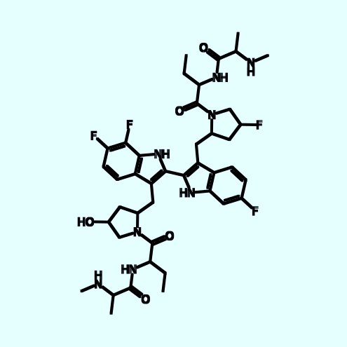 CCC(NC(=O)C(C)NC)C(=O)N1CC(O)CC1Cc1c(-c2[nH]c3cc(F)ccc3c2CC2CC(F)CN2C(=O)C(CC)NC(=O)C(C)NC)[nH]c2c(F)c(F)ccc12